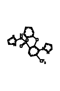 O=S(=O)(Nc1nccs1)c1ccc(C(F)(F)F)c(-n2cccn2)c1Oc1ccccc1